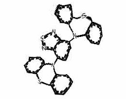 c1ccc2c(c1)Sc1ccccc1N2c1ccc(N2c3ccccc3Sc3ccccc32)c2nsnc12